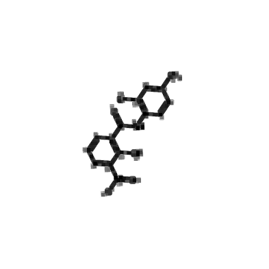 Cc1ccc(NC(=O)c2cccc([N+](=O)[O-])c2O)c(Cl)c1